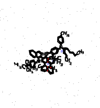 C=C/C=C(\C=C(\C)N1c2cc(N(/C(=C/C=C)CCCCC)c3ccc(C)cc3)ccc2Bc2c(-c3ccc4c(c3Nc3ccc(C(C)(C)C)cc3)C=CCC4)cc(-c3c(C)cccc3C)cc21)C1=CC=CCC1